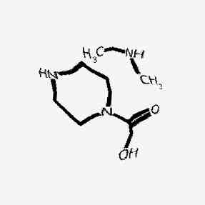 CNC.O=C(O)N1CCNCC1